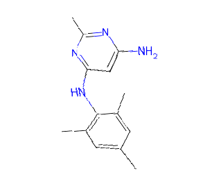 Cc1cc(C)c(Nc2cc(N)nc(C)n2)c(C)c1